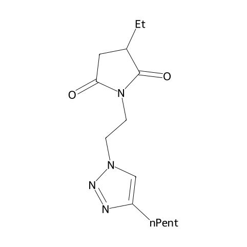 CCCCCc1cn(CCN2C(=O)CC(CC)C2=O)nn1